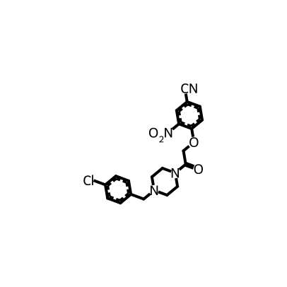 N#Cc1ccc(OCC(=O)N2CCN(Cc3ccc(Cl)cc3)CC2)c([N+](=O)[O-])c1